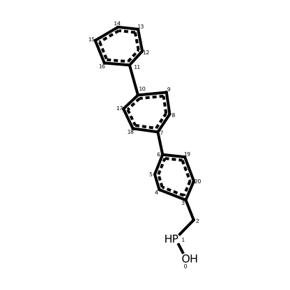 OPCc1ccc(-c2ccc(-c3ccccc3)cc2)cc1